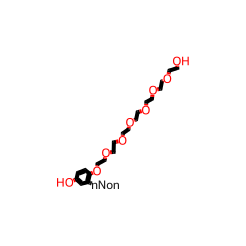 CCCCCCCCCc1cc(O)ccc1OCCOCCOCCOCCOCCOCCOCCO